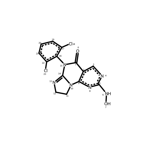 O=C1c2cnc(NO)nc2N2CCN=C2N1c1c(Cl)cccc1Cl